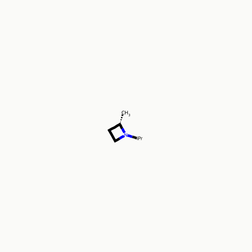 CC(C)N1CC[C@@H]1C